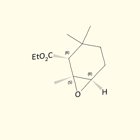 CCOC(=O)[C@@H]1C(C)(C)CC[C@H]2O[C@@]12C